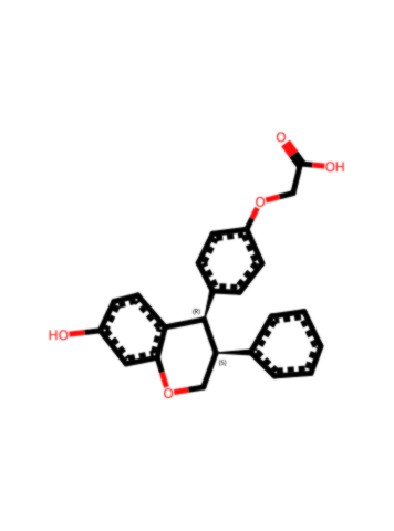 O=C(O)COc1ccc([C@@H]2c3ccc(O)cc3OC[C@@H]2c2ccccc2)cc1